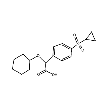 O=C(O)C(OC1CCCCC1)c1ccc(S(=O)(=O)C2CC2)cc1